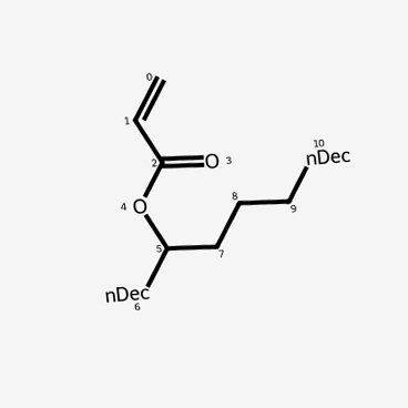 C=CC(=O)OC(CCCCCCCCCC)CCCCCCCCCCCCC